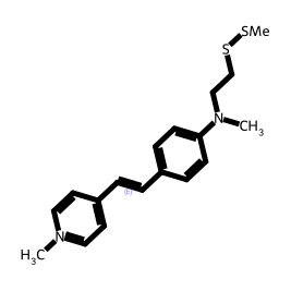 CSSCCN(C)c1ccc(/C=C/c2cc[n+](C)cc2)cc1